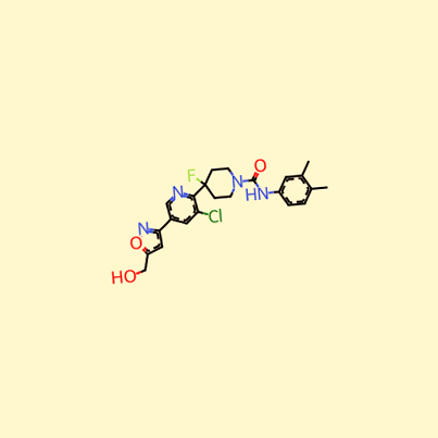 Cc1ccc(NC(=O)N2CCC(F)(c3ncc(-c4cc(CO)on4)cc3Cl)CC2)cc1C